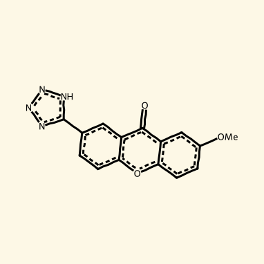 COc1ccc2oc3ccc(-c4nnn[nH]4)cc3c(=O)c2c1